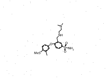 CSc1ccc(Oc2ccc(S(N)(=O)=O)cc2CNCCN(C)C)cc1C